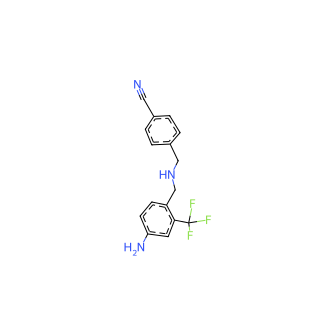 N#Cc1ccc(CNCc2ccc(N)cc2C(F)(F)F)cc1